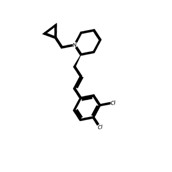 Clc1ccc(C=CC[C@@H]2CCCCN2CC2CC2)cc1Cl